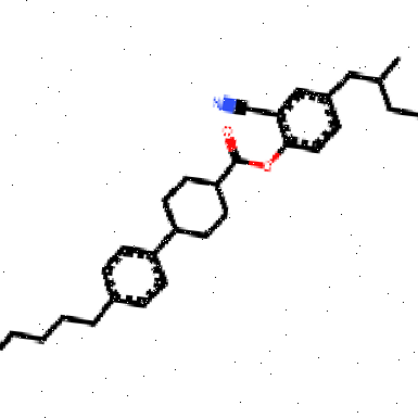 CCCCCc1ccc(C2CCC(C(=O)Oc3ccc(CC(C)CC)cc3C#N)CC2)cc1